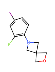 Fc1cc(I)ccc1N1CC2(COC2)C1